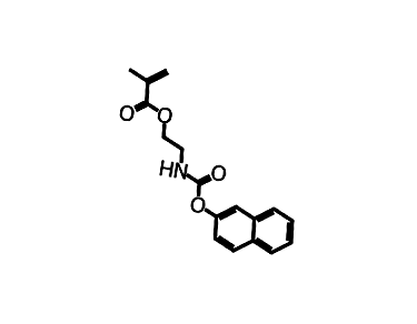 C=C(C)C(=O)OCCNC(=O)Oc1ccc2ccccc2c1